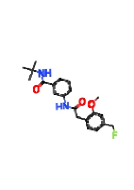 COc1cc(CF)ccc1CC(=O)Nc1cccc(C(=O)NC(C)(C)C)c1